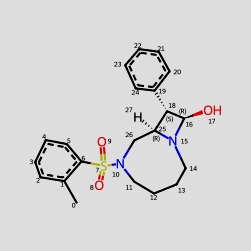 Cc1ccccc1S(=O)(=O)N1CCCCN2[C@H](O)[C@@H](c3ccccc3)[C@@H]2C1